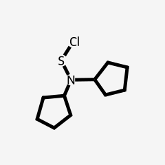 ClSN(C1CCCC1)C1CCCC1